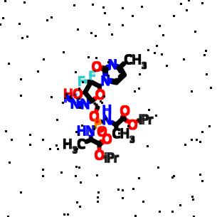 Cc1ccn([C@@H]2O[C@@](COP(=O)(NC(C)C(=O)OC(C)C)NC(C)C(=O)OC(C)C)(N=[N+]=[N-])[C@@H](O)C2(F)F)c(=O)n1